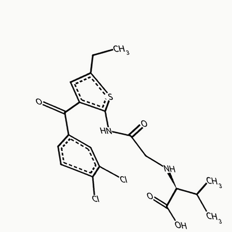 CCc1cc(C(=O)c2ccc(Cl)c(Cl)c2)c(NC(=O)CN[C@H](C(=O)O)C(C)C)s1